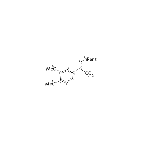 CCCCCC=C(C(=O)O)c1ccc(OC)c(OC)c1